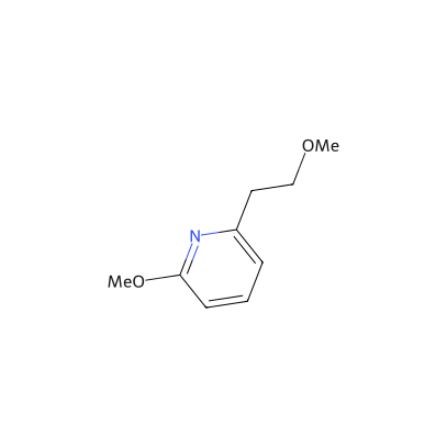 COCCc1cccc(OC)n1